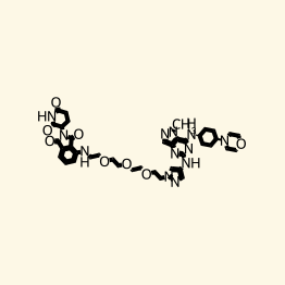 Cn1ncc2nc(Nc3cnn(CCOCCOCCOCCNc4cccc5c4C(=O)N(C4CCC(=O)NC4=O)C5=O)c3)nc(N[C@H]3CC[C@H](N4CCOCC4)CC3)c21